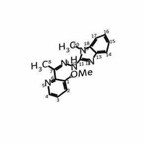 COc1cccnc1C(C)=NNc1nc2ccccc2n1C